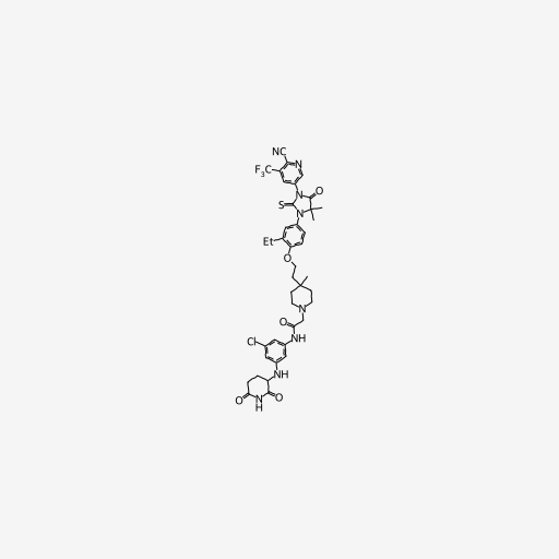 CCc1cc(N2C(=S)N(c3cnc(C#N)c(C(F)(F)F)c3)C(=O)C2(C)C)ccc1OCCC1(C)CCN(CC(=O)Nc2cc(Cl)cc(NC3CCC(=O)NC3=O)c2)CC1